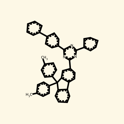 Cc1ccc(C2(c3ccc(C)cc3)c3ccccc3-c3ccc(-c4nc(-c5ccccc5)nc(-c5ccc(-c6ccccc6)cc5)n4)cc32)cc1